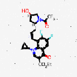 CCOC(=O)c1cn(C2CC2)c2c(/C=C\C[C@@H]3C[C@@H](O)CN3C(=O)C(F)(F)F)c(F)c(F)cc2c1=O